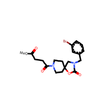 COC(=O)CCC(=O)N1CCC2(CC1)CN(Cc1cccc(Br)c1)C(=O)O2